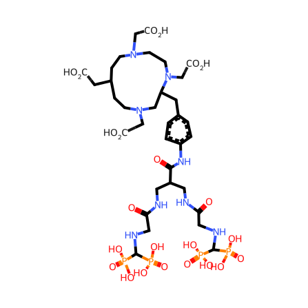 O=C(O)CC1CCN(CC(=O)O)CCN(CC(=O)O)C(Cc2ccc(NC(=O)C(CNC(=O)CNC(P(=O)(O)O)P(=O)(O)O)CNC(=O)CNC(P(=O)(O)O)P(=O)(O)O)cc2)CN(CC(=O)O)CC1